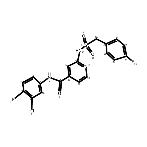 O=C(Nc1ccc(F)c(Cl)c1)c1ccnc(NS(=O)(=O)Cc2ccc(F)cc2)c1